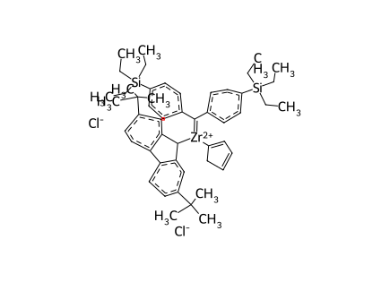 CC[Si](CC)(CC)c1ccc([C](c2ccc([Si](CC)(CC)CC)cc2)=[Zr+2]([C]2=CC=CC2)[CH]2c3cc(C(C)(C)C)ccc3-c3ccc(C(C)(C)C)cc32)cc1.[Cl-].[Cl-]